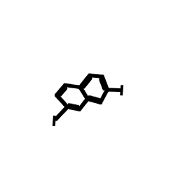 Ic1ccc2ccc(I)cc2c1